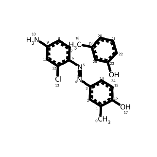 Cc1cc(N=Nc2ccc(N)cc2Cl)ccc1O.Cc1cccc(O)c1